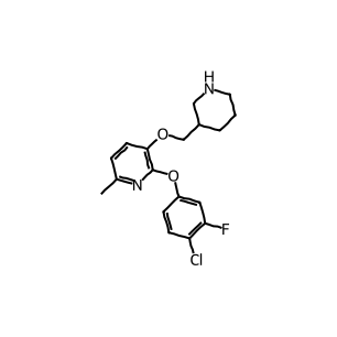 Cc1ccc(OCC2CCCNC2)c(Oc2ccc(Cl)c(F)c2)n1